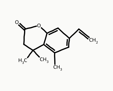 C=Cc1cc(C)c2c(c1)OC(=O)CC2(C)C